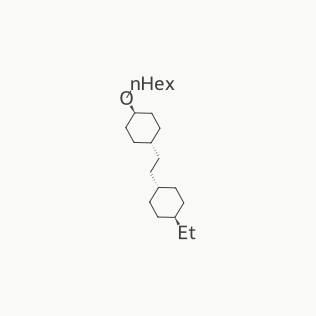 CCCCCCO[C@H]1CC[C@H](CC[C@H]2CC[C@H](CC)CC2)CC1